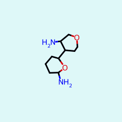 NC1CCCC(C2CCOCC2N)O1